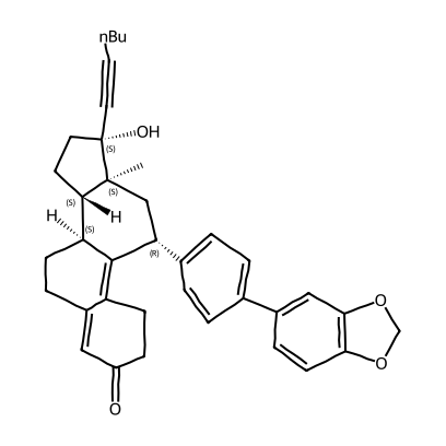 CCCCC#C[C@]1(O)CC[C@H]2[C@@H]3CCC4=CC(=O)CCC4=C3[C@@H](c3ccc(-c4ccc5c(c4)OCO5)cc3)C[C@@]21C